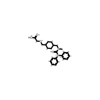 CN(CC1CCC(COCC(=O)O)CC1)C(=O)N(c1ccccc1)c1ccccc1